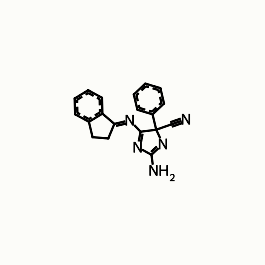 N#CC1(c2ccccc2)N=C(N)N=C1N=C1CCc2ccccc21